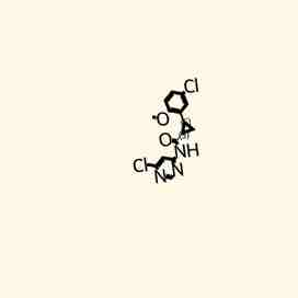 COc1ccc(Cl)cc1[C@H]1C[C@@H]1C(=O)Nc1cc(Cl)ncn1